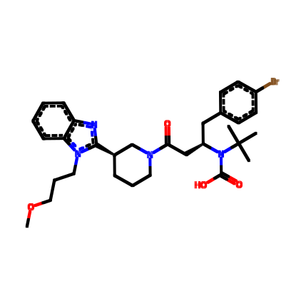 COCCCn1c([C@@H]2CCCN(C(=O)C[C@@H](Cc3ccc(Br)cc3)N(C(=O)O)C(C)(C)C)C2)nc2ccccc21